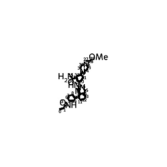 C=CC(=O)Nc1cccc(-c2cccc3cnc(Nc4ccc(N5CCN(CCOC)CC5)cc4C(N)=O)nc23)c1